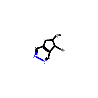 CC(C)(C)C1Cc2cnncc2C1C(C)(C)C